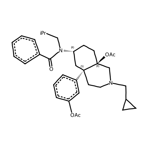 CC(=O)Oc1cccc([C@@]23CCN(CC4CC4)C[C@@]2(OC(C)=O)CC[C@@H](N(CC(C)C)C(=O)c2ccccc2)C3)c1